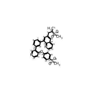 CC(Cc1cc(-c2cccc(-c3cnccc3Oc3ccc(S(C)(=O)=O)cc3)c2)c2ncccc2c1)S(C)(=O)=O